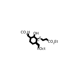 CCCCCCCCC=C1CCC(CC(=O)O)C(O)[C@H]1SCCC(=O)OCC